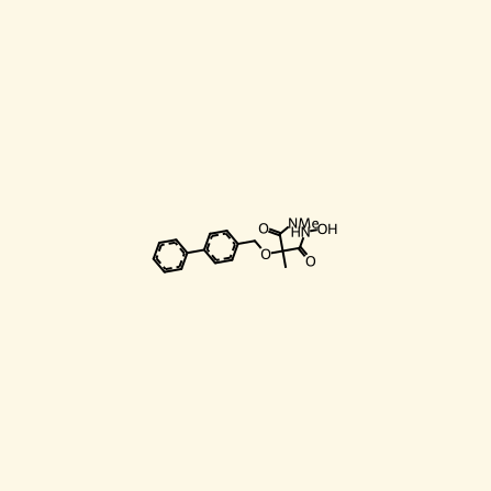 CNC(=O)C(C)(OCc1ccc(-c2ccccc2)cc1)C(=O)NO